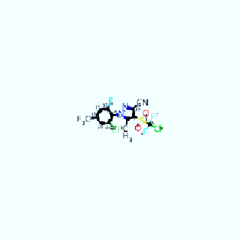 Cc1c(S(=O)(=O)C(F)(F)Cl)c(C#N)nn1-c1c(F)cc(C(F)(F)F)cc1Cl